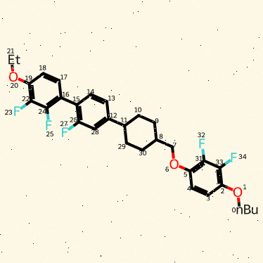 CCCCOc1ccc(OCC2CCC(c3ccc(-c4ccc(OCC)c(F)c4F)c(F)c3)CC2)c(F)c1F